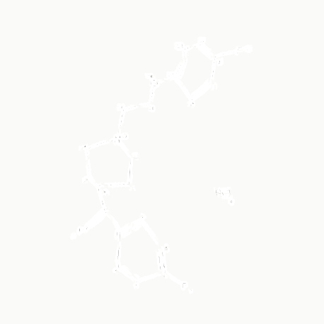 Cl.O=C(c1ccc(F)cc1)C1CCN(CCOc2ccc(F)cc2)CC1